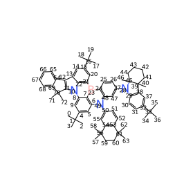 CC(C)(C)c1cc2c3c(c1)-n1c4c(c5cc(C(C)(C)C)cc(c51)B3c1ccc(N3c5ccc(C(C)(C)C)cc5C5(C)CCCCC35C)cc1N2c1ccc2c(c1)C(C)(C)CCC2(C)C)-c1ccccc1C4(C)C